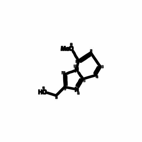 COc1cccc2nc(CO)cn12